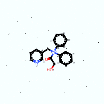 O=C(CO)[N+](Cc1cccnc1)(c1ccccc1)c1ccccc1